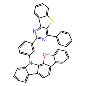 c1ccc(-c2nc(-c3cccc(-n4c5ccccc5c5ccc6c7ccccc7oc6c54)c3)nc3c2sc2ccccc23)cc1